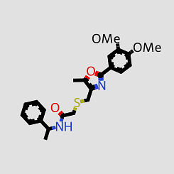 COc1ccc(-c2nc(CSCC(=O)NC(C)c3ccccc3)c(C)o2)cc1OC